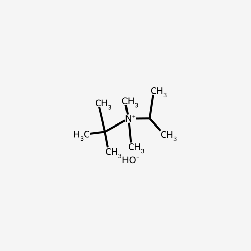 CC(C)[N+](C)(C)C(C)(C)C.[OH-]